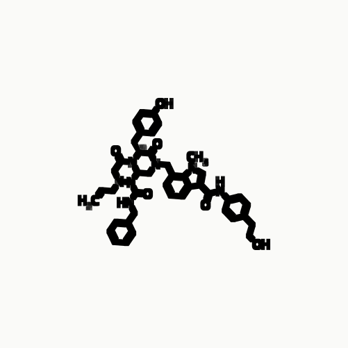 C=CCN1CC(=O)N2C(CN(Cc3cccc4c(C(=O)Nc5ccc(CCO)cc5)cn(C)c34)C(=O)[C@@H]2Cc2ccc(O)cc2)N1C(=O)NCc1ccccc1